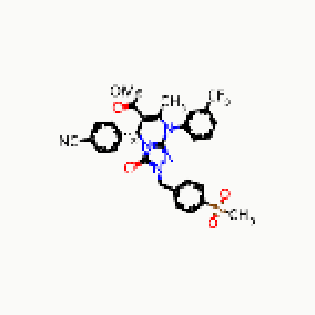 COC(=O)C1=C(C)N(c2cccc(C(F)(F)F)c2)c2nn(Cc3ccc(S(C)(=O)=O)cc3)c(=O)n2[C@@H]1c1ccc(C#N)cc1